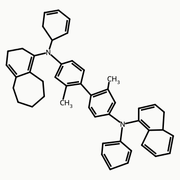 Cc1cc(N(C2=C3C=CC=CC3CC=C2)c2ccccc2)ccc1-c1ccc(N(C2=C3CCCCCC3=CCC2)C2C=CC=CC2)cc1C